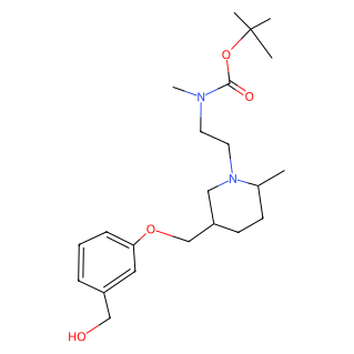 CC1CCC(COc2cccc(CO)c2)CN1CCN(C)C(=O)OC(C)(C)C